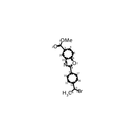 COC(=O)c1ccc2oc(-c3ccc(C(C)Br)cc3)nc2c1